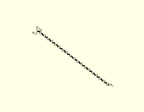 C=C(C)C(=O)OCCOCCOCCOCCOCCOCCOCCOCCOCCOCCOCCOCCOCCOCCOCCOCCOCCOCCOC